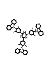 Cc1cc(-c2nc(-c3cc(C)c(-n4c5ccccc5c5ccccc54)c(C)c3)nc(-c3cc(C)c(-n4c5ccccc5c5ccccc54)c(C)c3)n2)cc(C)c1-n1c2ccccc2c2ccccc21